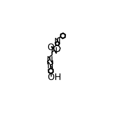 O=C1c2cn(Cc3ccccc3)cc2CCCN1CCCN1CCN(c2ccc(O)cc2)CC1